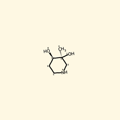 C[C@]1(O)CNCC[C@H]1O